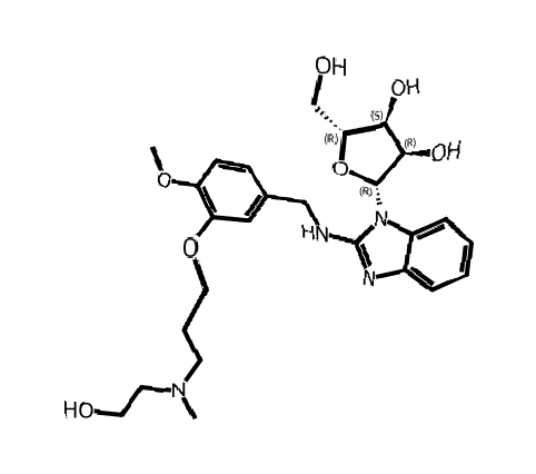 COc1ccc(CNc2nc3ccccc3n2[C@@H]2O[C@H](CO)[C@@H](O)[C@H]2O)cc1OCCCN(C)CCO